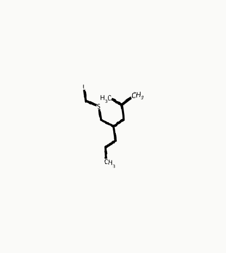 CCCC(CSCI)CC(C)C